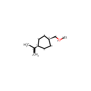 C=C(C)[C@H]1CC[C@@H](COCC)CC1